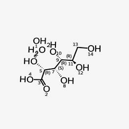 O.O.O=C(O)[C@H](O)[C@@H](O)[C@H](O)[C@H](O)CO